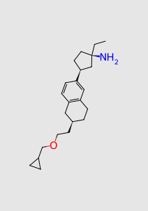 CC[C@@]1(N)CC[C@H](c2ccc3c(c2)CC[C@@H](CCOCC2CC2)C3)C1